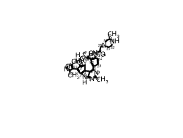 COc1cc2c(cc1-c1c(C)noc1C)[nH]c1nc(C)nc(-c3ccc(NC(=O)CN4CCN[C@H](C)C4)c(C(C)(C)C)c3)c12